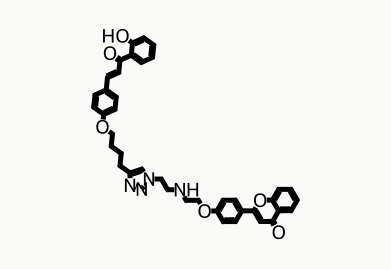 O=C(C=Cc1ccc(OCCCCc2cn(CCNCCOc3ccc(-c4cc(=O)c5ccccc5o4)cc3)nn2)cc1)c1ccccc1O